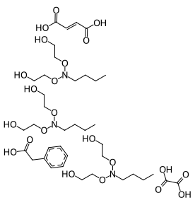 CCCCN(OCCO)OCCO.CCCCN(OCCO)OCCO.CCCCN(OCCO)OCCO.O=C(O)C(=O)O.O=C(O)C=CC(=O)O.O=C(O)Cc1ccccc1